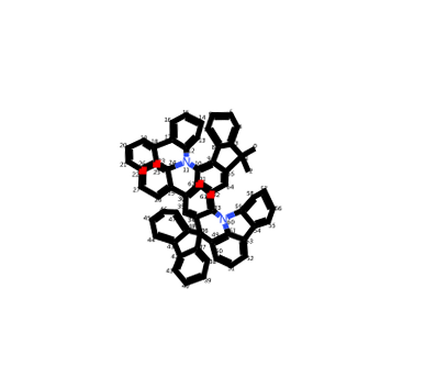 CC1(C)c2ccccc2-c2c(N(c3ccccc3-c3ccccc3)c3ccccc3-c3ccc4c(c3)C3(c5ccccc5-c5ccccc53)c3cccc5c6ccccc6n-4c35)cccc21